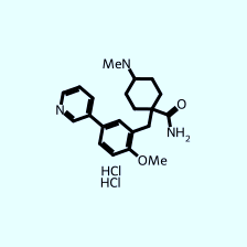 CNC1CCC(Cc2cc(-c3cccnc3)ccc2OC)(C(N)=O)CC1.Cl.Cl